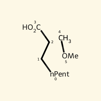 CCCCCCCC(=O)O.COC